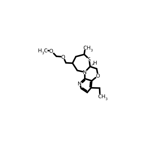 CCc1ccnc2c1OC[C@@H]1SC(C)CC(COCOC)CN21